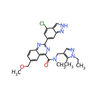 CCn1ncc(CN(C)C(=O)c2nc(-c3cc(Cl)c4c[nH]nc4c3)nc3ccc(COC)cc23)c1C